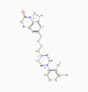 O=C1CCc2cc(CCCCN3CCN(c4cccc(Cl)c4Cl)CC3)cc3c2N1CC3